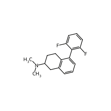 CN(C)C1CCc2c(cccc2-c2c(F)cccc2F)C1